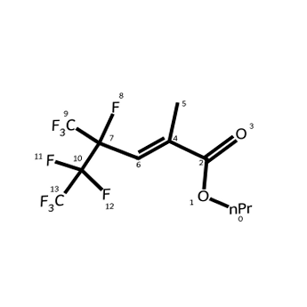 CCCOC(=O)C(C)=CC(F)(C(F)(F)F)C(F)(F)C(F)(F)F